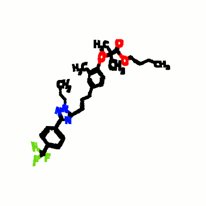 CCCCOC(=O)C(C)(C)Oc1ccc(CCCc2nc(-c3ccc(C(F)(F)F)cc3)nn2CCC)cc1C